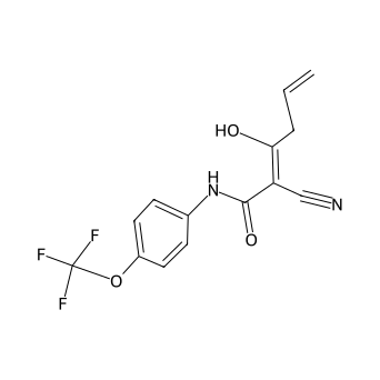 C=CCC(O)=C(C#N)C(=O)Nc1ccc(OC(F)(F)F)cc1